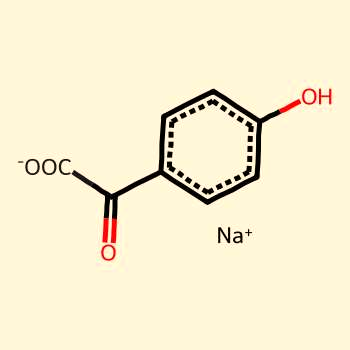 O=C([O-])C(=O)c1ccc(O)cc1.[Na+]